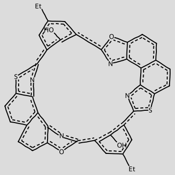 CCc1cc2c(O)c(c1)c1nc3c(ccc4ccc5oc(nc5c43)c3cc(CC)cc(c3O)c3nc4c(ccc5ccc6oc2nc6c54)s3)s1